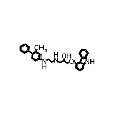 Cc1cc(NCCNCC(O)COc2cccc3[nH]c4ccccc4c23)ccc1-c1ccccc1